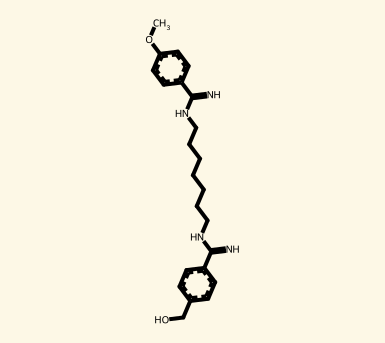 COc1ccc(C(=N)NCCCCCCCNC(=N)c2ccc(CO)cc2)cc1